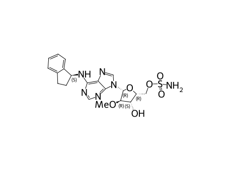 CO[C@@H]1[C@@H](O)[C@@H](COS(N)(=O)=O)O[C@H]1n1cnc2c(N[C@H]3CCc4ccccc43)ncnc21